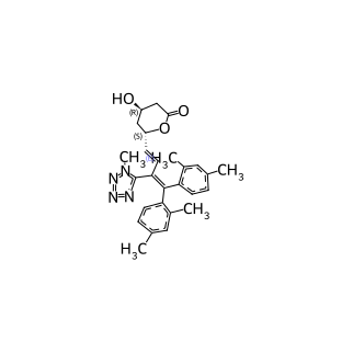 Cc1ccc(C(=C(/C=C/[C@@H]2C[C@@H](O)CC(=O)O2)c2nnnn2C)c2ccc(C)cc2C)c(C)c1